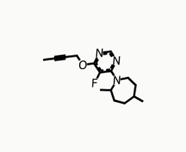 CC#CCOc1ncnc(N2CCC(C)CCC2C)c1F